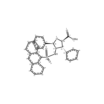 COC(=O)[C@@H]1O[C@H](c2ccccc2)N(NS(=O)(=O)c2c3ccccc3cc3ccccc23)[C@H]1c1ccccc1